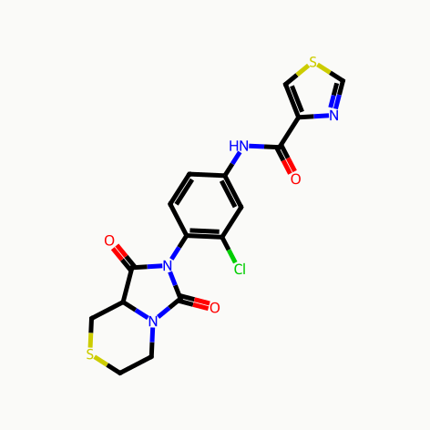 O=C(Nc1ccc(N2C(=O)C3CSCCN3C2=O)c(Cl)c1)c1cscn1